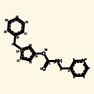 O=C(NCc1cccnc1)Oc1cnn(Cc2ccccc2)c1